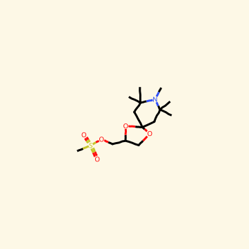 CN1C(C)(C)CC2(CC1(C)C)OCC(COS(C)(=O)=O)O2